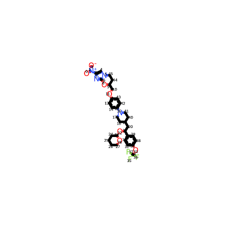 O=[N+]([O-])c1cn2c(n1)OC(COc1ccc(N3CCC(CC(O[C@@H]4CCCCO4)c4ccc(OC(F)(F)F)cc4)CC3)cc1)CC2